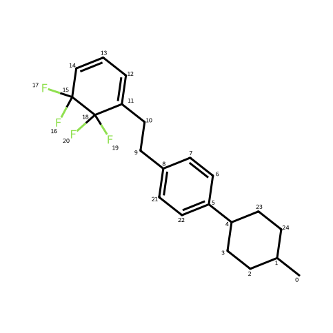 CC1CCC(c2ccc(CCC3=CC=CC(F)(F)C3(F)F)cc2)CC1